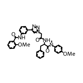 COc1ccc(N(C)C(=O)C(Cc2ccccc2)NC(=O)Cn2cc(-c3cccc(NC(=O)c4ccccc4OC)c3)nn2)cc1